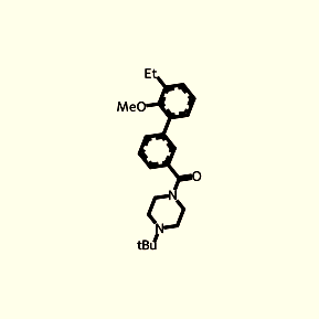 CCc1cccc(-c2cccc(C(=O)N3CCN(C(C)(C)C)CC3)c2)c1OC